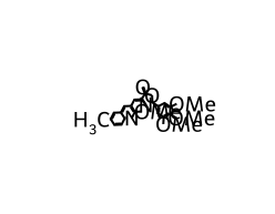 COc1cc(C2=N/C(=C\c3cc4cc(C)ccc4nc3OC)C(=O)O2)cc(OC)c1OC